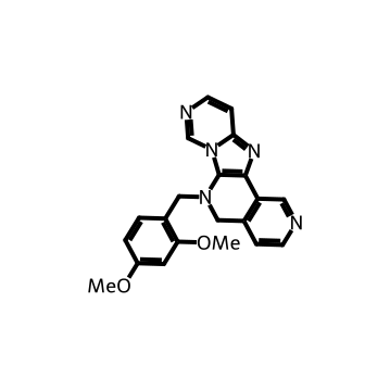 COc1ccc(CN2Cc3ccncc3-c3nc4ccncn4c32)c(OC)c1